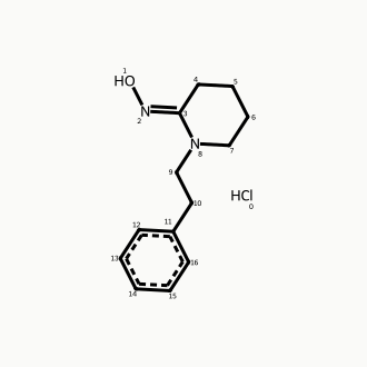 Cl.ON=C1CCCCN1CCc1ccccc1